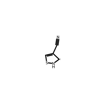 N#CC1=CSN[C]1